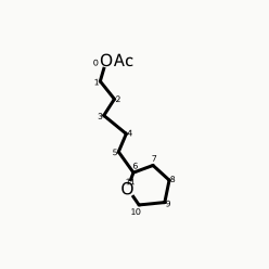 CC(=O)OCCCCCC1CCCCO1